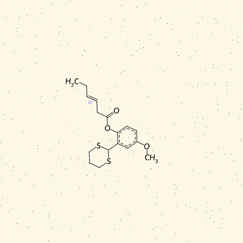 CC/C=C/CC(=O)Oc1ccc(OC)cc1C1SCCCS1